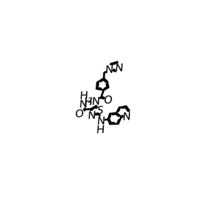 NC(=O)c1nc(Nc2ccc3ncccc3c2)sc1NC(=O)c1ccc(Cn2ccnc2)cc1